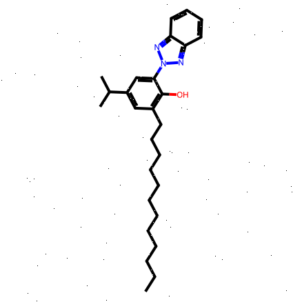 CCCCCCCCCCCCc1cc(C(C)C)cc(-n2nc3ccccc3n2)c1O